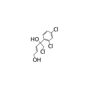 OCC=CC(O)(CCl)c1ccc(Cl)cc1Cl